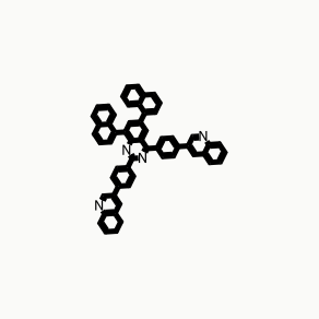 C1=Cc2ncc(-c3ccc(-c4nc(-c5ccc(-c6cnc7ccccc7c6)cc5)c5cc(-c6cccc7ccccc67)cc(-c6cccc7ccccc67)c5n4)cc3)cc2CC1